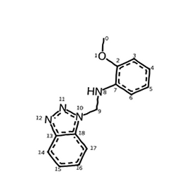 COc1ccccc1NCn1nnc2ccccc21